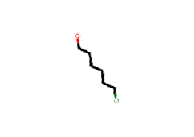 [O]CCCCCCCl